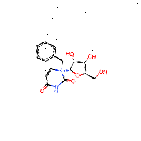 O=C1C=C[N+](Cc2ccccc2)([C@@H]2O[C@H](CO)[C@@H](O)[C@H]2O)C(=O)N1